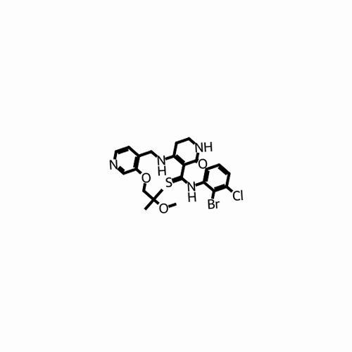 COC(C)(C)COc1cnccc1CNC1=C(C(=S)Nc2cccc(Cl)c2Br)C(=O)NCC1